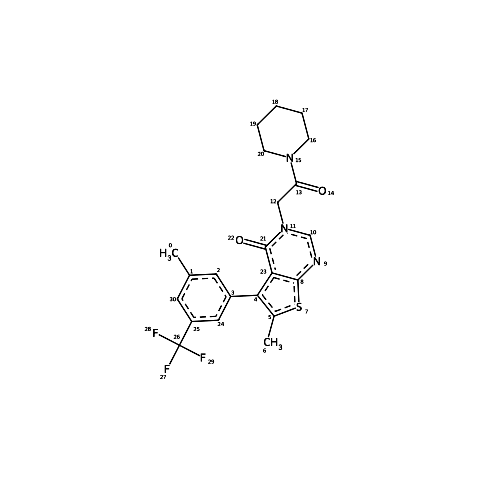 Cc1cc(-c2c(C)sc3ncn(CC(=O)N4CCCCC4)c(=O)c23)cc(C(F)(F)F)c1